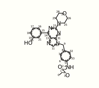 CS(=O)(=O)Nc1ccc(Cn2cnc3c(-c4cccc(O)c4)nc(N4CCOCC4)nc32)cc1